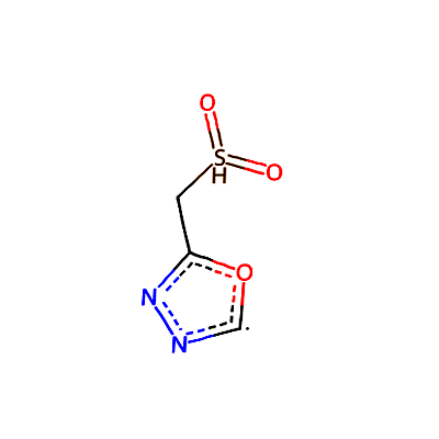 O=[SH](=O)Cc1nn[c]o1